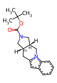 CC(C)(C)OC(=O)N1C[C@H]2Cc3cc4ccccc4n3C[C@H]2C1